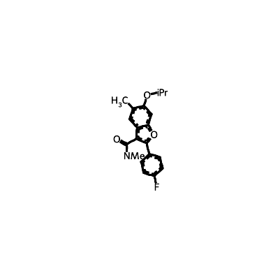 CNC(=O)c1c(-c2ccc(F)cc2)oc2cc(OC(C)C)c(C)cc12